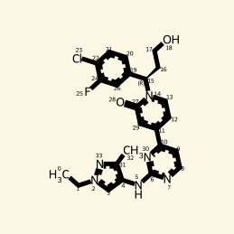 CCn1cc(Nc2nccc(-c3ccn([C@H](CCO)c4ccc(Cl)c(F)c4)c(=O)c3)n2)c(C)n1